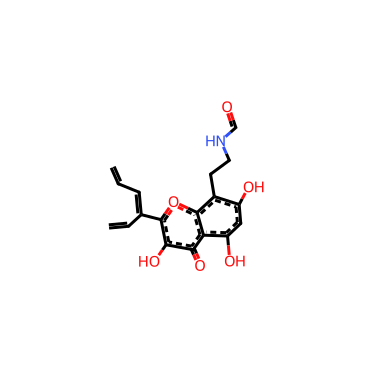 C=C/C=C(\C=C)c1oc2c(CCNC=O)c(O)cc(O)c2c(=O)c1O